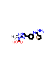 CN(C(=O)O)c1nc(-c2cccc(/N=C(/N)c3cccs3)c2)c[nH]1